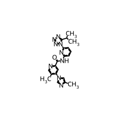 Cc1cn(-c2cc(C(=O)Nc3cccc(-n4nnnc4C(C)C)n3)ncc2C)cn1